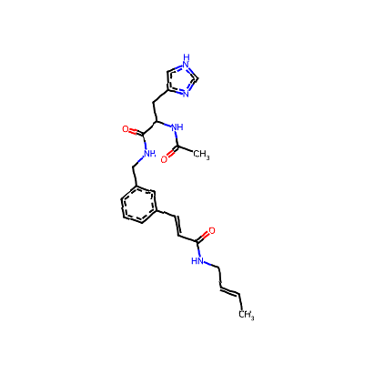 C/C=C/CNC(=O)/C=C/c1cccc(CNC(=O)C(Cc2c[nH]cn2)NC(C)=O)c1